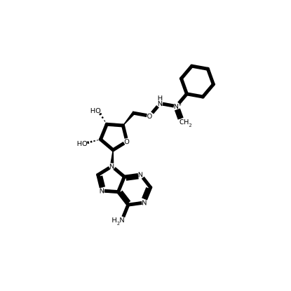 C=[N+](NOC[C@H]1O[C@@H](n2cnc3c(N)ncnc32)[C@H](O)[C@@H]1O)C1CCCCC1